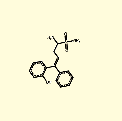 NC(CC=C(c1ccccc1)c1ccccc1O)S(N)(=O)=O